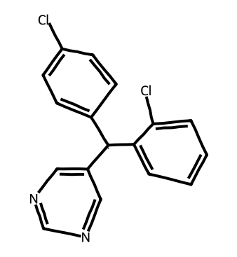 Clc1ccc([C](c2cncnc2)c2ccccc2Cl)cc1